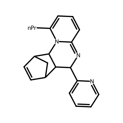 CCCC1=CC=CC2=NC(c3ccccn3)C3C4C=CC(C4)C3N12